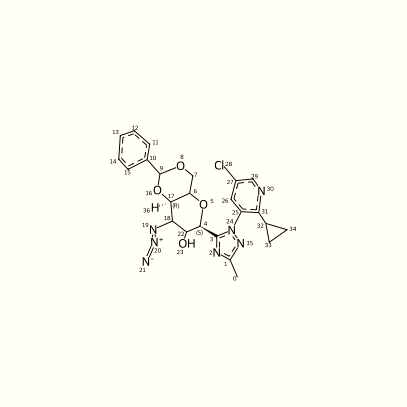 Cc1nc([C@@H]2OC3COC(c4ccccc4)O[C@@H]3C(N=[N+]=[N-])C2O)n(-c2cc(Cl)cnc2C2CC2)n1